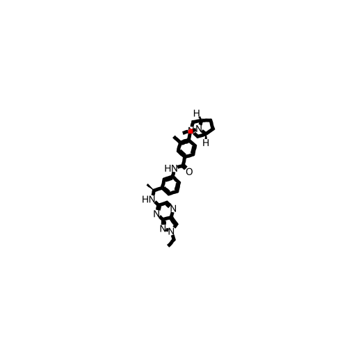 CCn1cc2ncc(N[C@@H](C)c3cccc(NC(=O)c4ccc(CN5[C@@H]6CC[C@H]5CN(C)C6)c(C)c4)c3)nc2n1